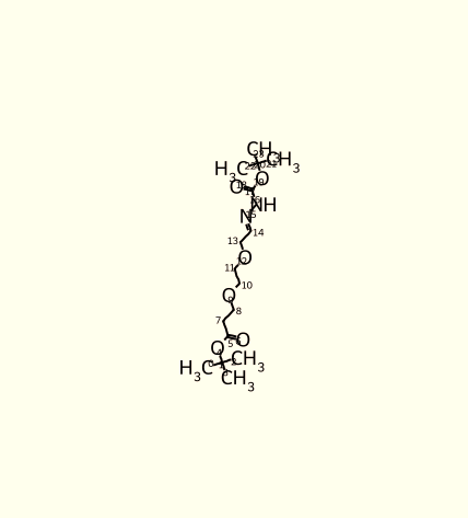 CC(C)(C)OC(=O)CCOCCOCC=NNC(=O)OC(C)(C)C